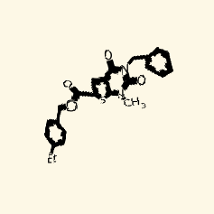 CCc1ccc(COC(=O)c2cc3c(=O)n(Cc4ccccc4)c(=O)n(C)c3s2)cc1